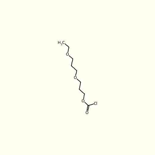 CCOCCCOCCCOC(=O)Cl